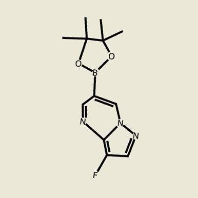 CC1(C)OB(c2cnc3c(F)cnn3c2)OC1(C)C